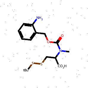 CN(C(=O)OCc1ccccc1N)C(CSSC(C)(C)C)C(=O)O